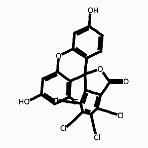 O=C1OC2(c3ccc(O)cc3Oc3cc(O)cc(F)c32)c2c(Cl)c(Cl)c(Cl)c(Cl)c21